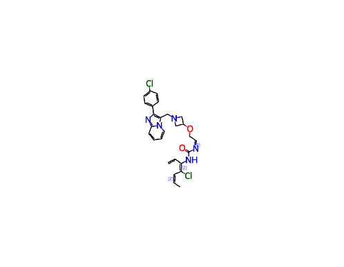 C=C/C(NC(=O)/N=C\COC1CN(Cc2c(-c3ccc(Cl)cc3)nc3ccccn23)C1)=C(Cl)\C=C/C